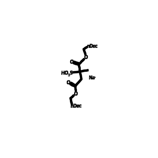 CCCCCCCCCCCOC(=O)CC(C)(C(=O)OCCCCCCCCCCC)S(=O)(=O)O.[Na]